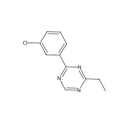 CCc1ncnc(-c2cccc(Cl)c2)n1